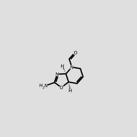 NC1=N[C@@H]2[C@@H](C=CCN2C=O)O1